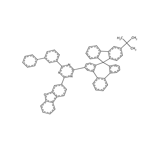 CC(C)(C)c1ccc2c(c1)-c1ccccc1C21c2ccccc2-c2ccccc2-c2cc(-c3nc(-c4cccc(-c5ccccc5)c4)nc(-c4ccc5c(c4)oc4ccccc45)n3)ccc21